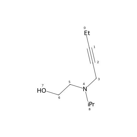 CCC#CCN(CCO)C(C)C